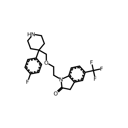 O=C1Cc2cc(C(F)(F)F)ccc2N1CCOCC1(c2ccc(F)cc2)CCNCC1